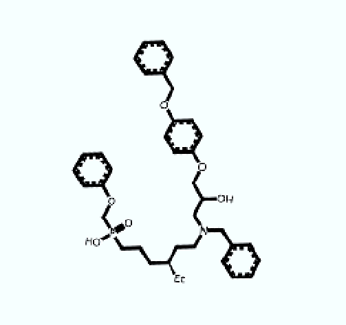 CC[C@@H](CCCP(=O)(O)COc1ccccc1)CCN(Cc1ccccc1)CC(O)COc1ccc(OCc2ccccc2)cc1